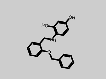 Oc1ccc(NCc2ccccc2OCc2ccccc2)c(O)c1